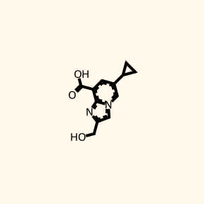 O=C(O)c1cc(C2CC2)cn2cc(CO)nc12